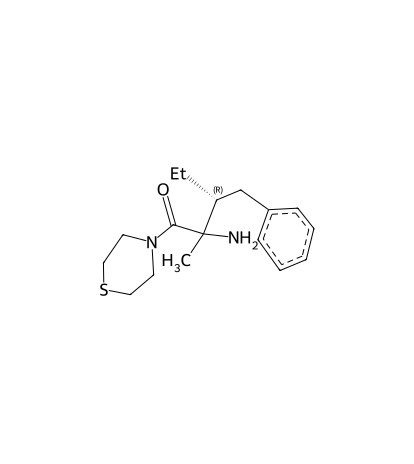 CC[C@H](Cc1ccccc1)C(C)(N)C(=O)N1CCSCC1